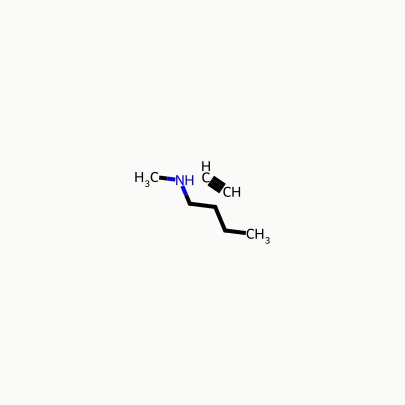 C#C.CCCCNC